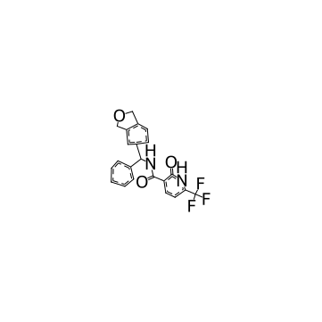 O=C(NC(c1ccccc1)c1ccc2c(c1)COC2)c1ccc(C(F)(F)F)[nH]c1=O